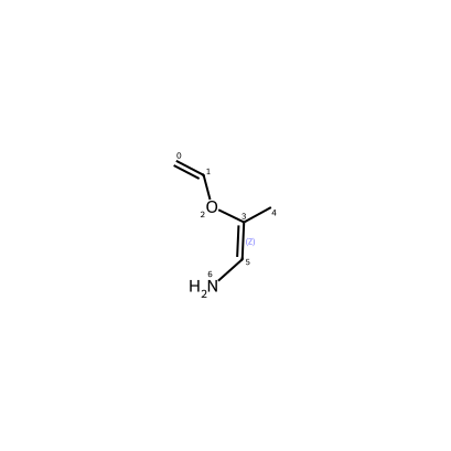 C=CO/C(C)=C\N